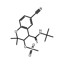 CC(C)(C)NC(=S)C1c2cc(C#N)ccc2OC(C)(C)C1OS(C)(=O)=O